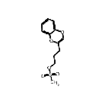 CS(=O)(=O)OCCCC1=COc2ccccc2O1